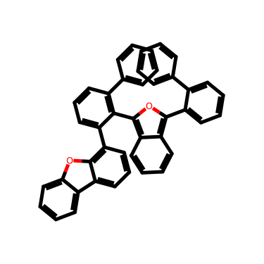 c1ccc(-c2ccccc2-c2oc(-c3c(-c4ccccc4)cccc3-c3cccc4c3oc3ccccc34)c3ccccc23)cc1